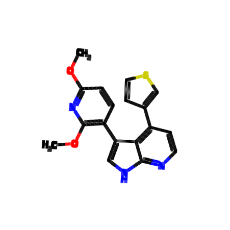 COc1ccc(-c2c[nH]c3nccc(-c4ccsc4)c23)c(OC)n1